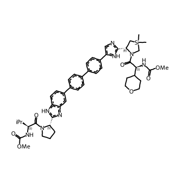 COC(=O)N[C@H](C(=O)N1CCC[C@H]1c1nc2cc(-c3ccc(-c4ccc(-c5cnc([C@@H]6C[Si](C)(C)CN6C(=O)[C@@H](NC(=O)OC)C6CCOCC6)[nH]5)cc4)cc3)ccc2[nH]1)C(C)C